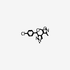 Cc1noc(C)c1-c1cn(C)nc1C(=O)c1ccc(Cl)cc1